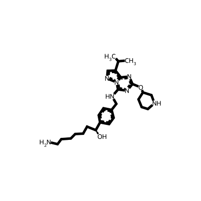 CC(C)c1cnn2c(NCc3ccc([C@@H](O)CCCCCCN)cc3)nc(OC3CCCNC3)nc12